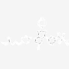 COC(=O)CCCC1CCN(Cc2cc(F)cc3c(-c4cncc(NS(=O)(=O)C5CC5)c4)nc(N4CCOCC4)nc23)CC1